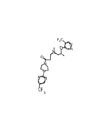 C[C@@H](CN(C)CCC(=O)N1CCN(c2ncc(C(F)(F)F)cn2)CC1)Oc1cnncc1C(F)(F)F